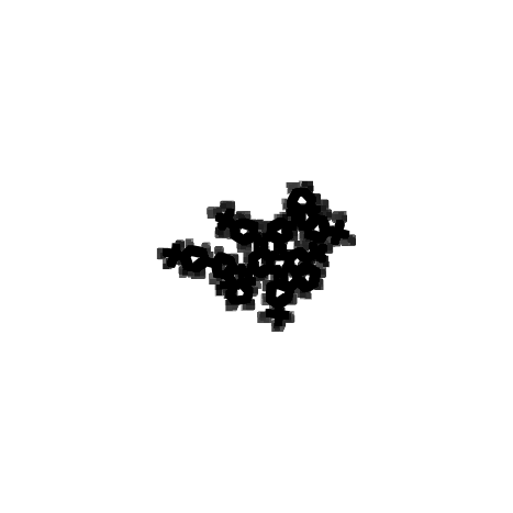 CC(C)(C)c1ccc(-c2ccc3c(c2)C2(C)CCCCC2(C)N3c2cc3c4c(c2)N(c2ccc(C(C)(C)C)cc2-c2ccccc2)c2ccc(C(C)(C)C)cc2B4c2cc(N4c5ccc(C(C)(C)C)cc5C5(C)CCCCC45C)ccc2N3c2ccc(C(C)(C)C)cc2)cc1